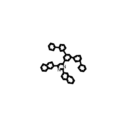 c1ccc(-c2cccc(-c3cc(-c4cccc(-c5ccccc5)c4)cc(-c4cc(-c5ccc6ccccc6c5)nc(-c5ccc6ccccc6c5)n4)c3)c2)cc1